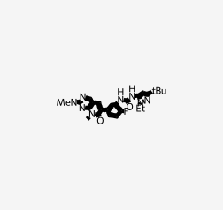 CCn1nc(C(C)(C)C)cc1NC(=O)Nc1cc(-c2cc3cnc(NC)nc3n(C)c2=O)ccc1F